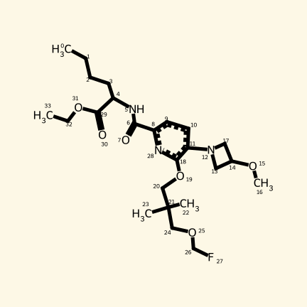 CCCCC(NC(=O)c1ccc(N2CC(OC)C2)c(OCC(C)(C)COCF)n1)C(=O)OCC